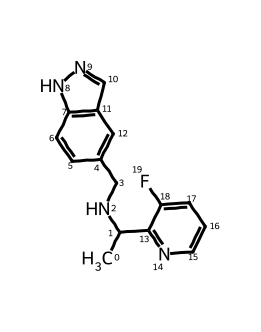 CC(NCc1ccc2[nH]ncc2c1)c1ncccc1F